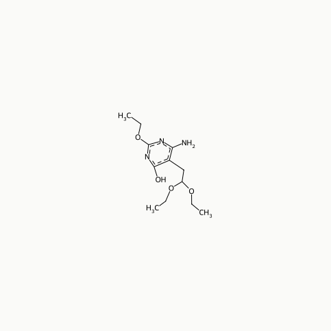 CCOc1nc(N)c(CC(OCC)OCC)c(O)n1